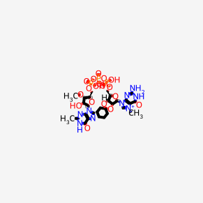 CO[C@@H]1C(O)[C@H](n2cnc3c(=O)[nH]c(C)nc32)O[C@@H]1COP(=O)(O)OP(=O)(O)OP(=O)(O)OC[C@H]1O[C@@H](n2c[n+](C)c3c(=O)[nH]c(N)nc32)C2OC3(CCCCC3)O[C@H]21